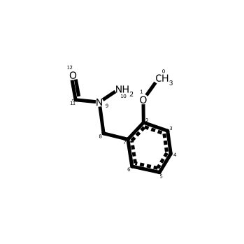 COc1ccccc1CN(N)[C]=O